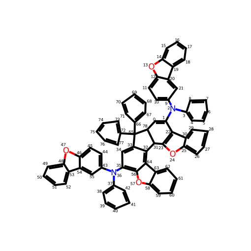 C1=C(N(c2ccccc2)c2ccc3oc4ccccc4c3c2)c2c(oc3ccccc23)C2c3c(cc(N(c4ccccc4)c4ccc5oc6ccccc6c5c4)c4oc5ccccc5c34)C(c3ccccc3)(c3ccccc3)C12